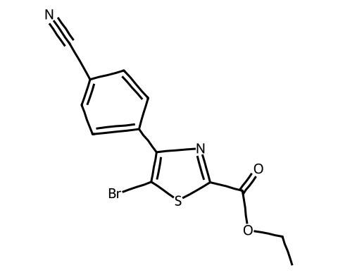 CCOC(=O)c1nc(-c2ccc(C#N)cc2)c(Br)s1